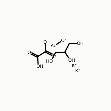 CC(=O)[O-].O=C([O-])C(=O)O.OCC(O)CO.[K+].[K+]